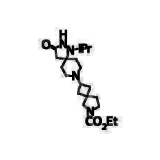 CCOC(=O)N1CCC2(CC(N3CCC4(CC3)CC(=O)NN4C(C)C)C2)C1